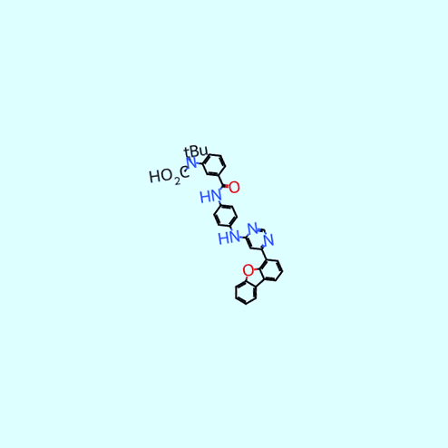 CC(C)(C)N(C(=O)O)c1cccc(C(=O)Nc2ccc(Nc3cc(-c4cccc5c4oc4ccccc45)ncn3)cc2)c1